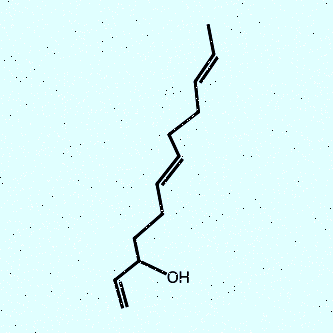 C=CC(O)CC/C=C/CC/C=C/C